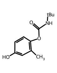 Cc1cc(O)ccc1OC(=O)NC(C)(C)C